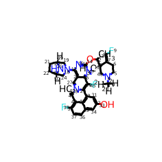 [2H]C([2H])([2H])N1CC/C(=C\F)[C@](C)(C(C)Oc2nc(N3C[C@H]4CC[C@@H](C3)N4)c3cnc(-c4cc(O)cc5ccc(F)c(C#C)c45)c(F)c3n2)C1